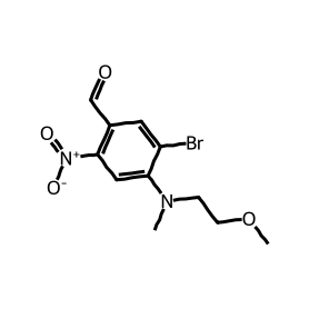 COCCN(C)c1cc([N+](=O)[O-])c(C=O)cc1Br